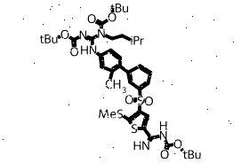 CSc1sc(C(=N)NC(=O)OC(C)(C)C)cc1S(=O)(=O)c1cccc(-c2ccc(N/C(=N\C(=O)OC(C)(C)C)N(CCC(C)C)C(=O)OC(C)(C)C)cc2C)c1